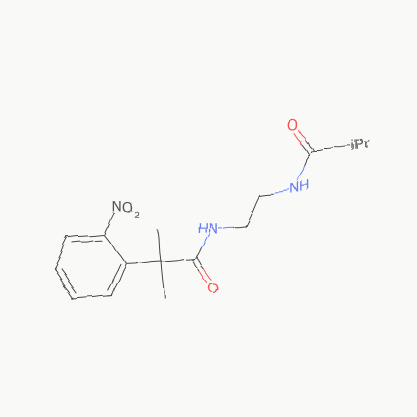 CC(C)C(=O)NCCNC(=O)C(C)(C)c1ccccc1[N+](=O)[O-]